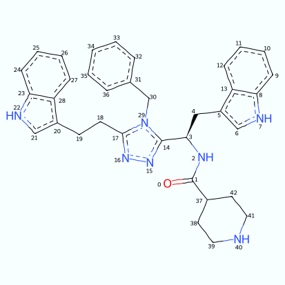 O=C(N[C@H](Cc1c[nH]c2ccccc12)c1nnc(CCc2c[nH]c3ccccc23)n1Cc1ccccc1)C1CCNCC1